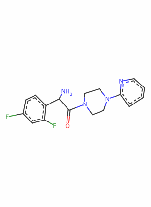 NC(C(=O)N1CCN(c2ccccn2)CC1)c1ccc(F)cc1F